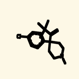 C=C(C(C)(C)C)C1(c2ccc(Cl)cc2)CCN(C)CC1